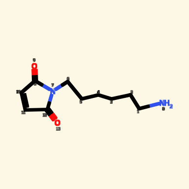 NCCCCCCN1C(=O)C=CC1=O